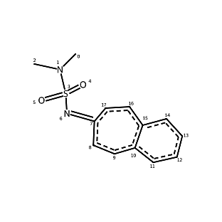 CN(C)S(=O)(=O)N=c1ccc2ccccc2cc1